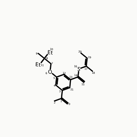 C=C(C)c1cc(OCC(C)(CC)CC)cc(C(=C)S/C(C)=C\C)c1